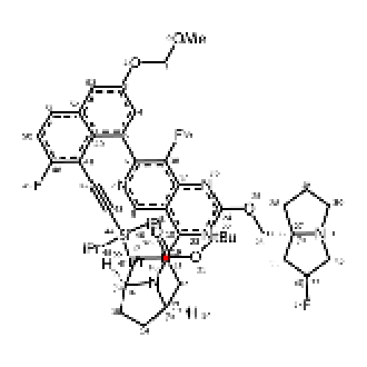 COCOc1cc(-c2ncc3c(N4C[C@H]5CC[C@@H](C4)N5C(=O)OC(C)(C)C)nc(OC[C@]45CCCN4C[C@@H](F)C5)nc3c2F)c2c(C#C[Si](C(C)C)(C(C)C)C(C)C)c(F)ccc2c1